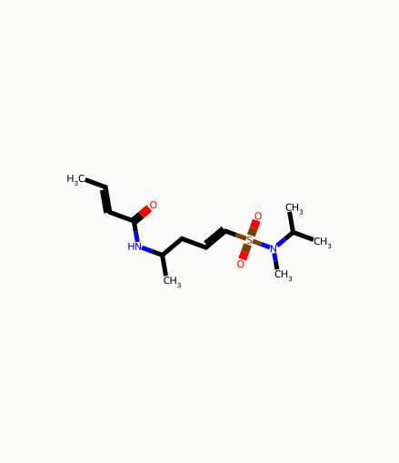 C/C=C/C(=O)NC(C)C/C=C/S(=O)(=O)N(C)C(C)C